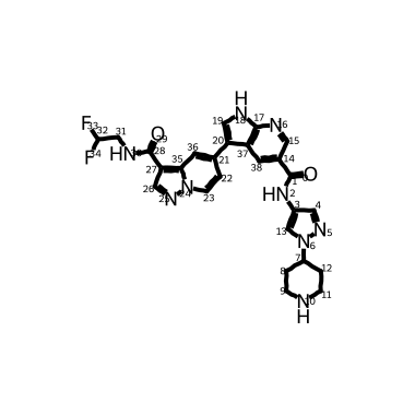 O=C(Nc1cnn(C2CCNCC2)c1)c1cnc2[nH]cc(-c3ccn4ncc(C(=O)NCC(F)F)c4c3)c2c1